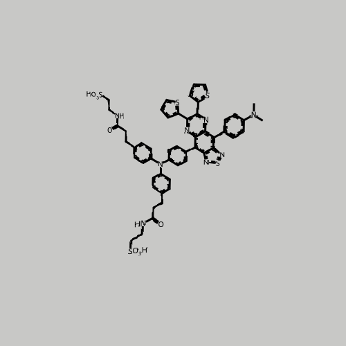 CN(C)c1ccc(-c2c3nsnc3c(-c3ccc(N(c4ccc(CCC(=O)NCCS(=O)(=O)O)cc4)c4ccc(CCC(=O)NCCS(=O)(=O)O)cc4)cc3)c3nc(-c4cccs4)c(-c4cccs4)nc23)cc1